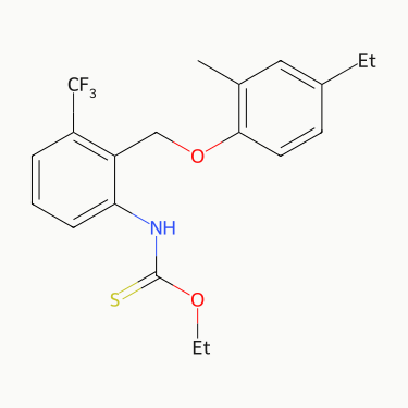 CCOC(=S)Nc1cccc(C(F)(F)F)c1COc1ccc(CC)cc1C